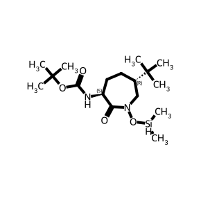 C[SiH](C)ON1C[C@@H](C(C)(C)C)CC[C@H](NC(=O)OC(C)(C)C)C1=O